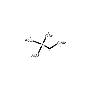 COC[Si](OC(C)=O)(OC(C)=O)OC(C)=O